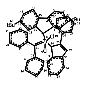 CC(C)(C)c1ccc2c(c1)[CH]([Zr]([Cl])([Cl])(=[C](c1ccccc1)c1ccccc1)[CH]1C(c3ccccc3)=Cc3ccccc31)c1cc(C(C)(C)C)ccc1-2